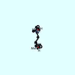 C/C=N\N(/C=N/[C@@H](NC(=O)[C@@H]1CCC2CCCCC(NC(=O)[C@H](C)NC)C(=O)N21)c1ccccc1)CCCCc1ccc(CCCCn2cc([C@@H](NC(=O)[C@@H]3CCC4CCCCC(NC(=O)[C@H](C)NC)C(=O)N43)c3ccccc3)nn2)cc1